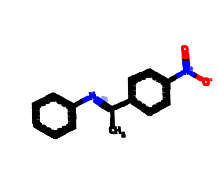 C/C(=N\c1ccccc1)c1ccc([N+](=O)[O-])cc1